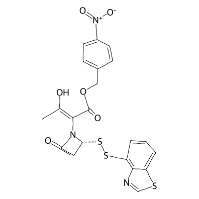 C/C(O)=C(/C(=O)OCc1ccc([N+](=O)[O-])cc1)N1C(=O)C[C@H]1SSc1cccc2scnc12